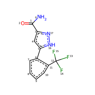 NC(=O)c1cc(-c2ccccc2C(F)(F)F)[nH]n1